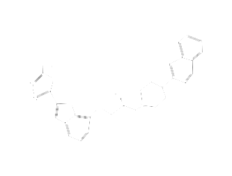 Cc1nnc(-c2cc3cccc(OC[C@@H](O)CN4CCC(c5ccc6ccccc6c5)CC4)c3o2)o1